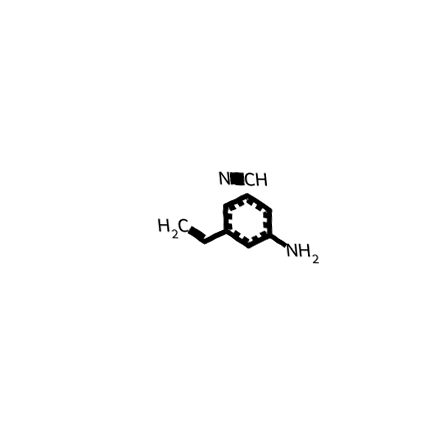 C#N.C=Cc1cccc(N)c1